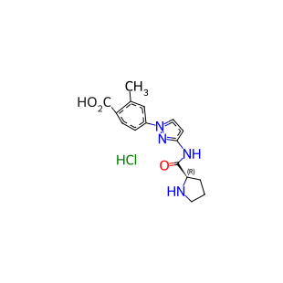 Cc1cc(-n2ccc(NC(=O)[C@H]3CCCN3)n2)ccc1C(=O)O.Cl